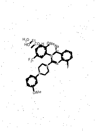 CC(=O)O.CCO.COc1cccc(N2CCN(C3=Nc4c(F)cccc4[C@H]([Na])N3c3cc(C(F)(F)F)ccc3OC)CC2)c1.O